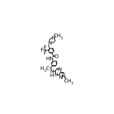 CCn1cc2ncc(N[C@@H](C)c3cccc(NC(=O)c4ccc(CN5CCN(C)CC5)c(C(F)(F)F)c4)c3)nc2n1